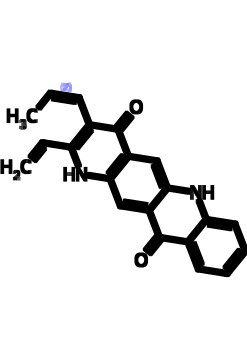 C=Cc1[nH]c2cc3c(=O)c4ccccc4[nH]c3cc2c(=O)c1/C=C\C